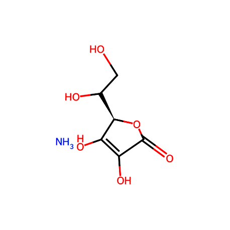 N.O=C1O[C@H](C(O)CO)C(O)=C1O